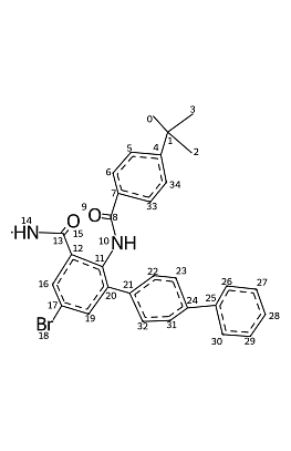 CC(C)(C)c1ccc(C(=O)Nc2c(C([NH])=O)cc(Br)cc2-c2ccc(-c3ccccc3)cc2)cc1